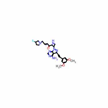 COc1cc(C#Cc2nn(C3CNC3C(=O)/C=C/CN3CCC(F)C3)c3ncnc(N)c23)cc(OC)c1